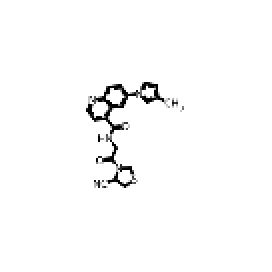 Cc1ccn(-c2ccc3nccc(C(=O)NCC(=O)N4CSCC4C#N)c3c2)c1